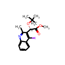 COC(=O)[C@@H](OC(C)(C)C)c1c(C)nc2ccccc2c1I